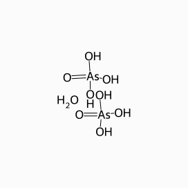 O.O=[As](O)(O)O.O=[As](O)(O)O